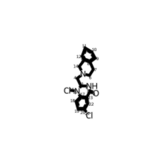 O=C1NC(CN2CCc3ccccc3C2)N(Cl)c2ccc(Cl)cc21